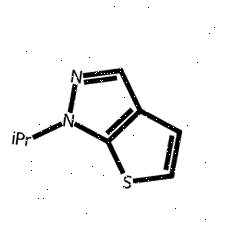 CC(C)n1ncc2ccsc21